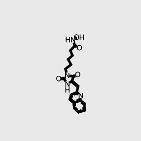 O=C(CCCCCN1C(=O)N/C(=C\c2ccc3ccccc3n2)C1=O)NO